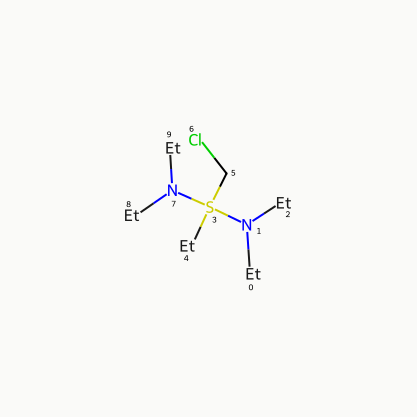 CCN(CC)S(CC)(CCl)N(CC)CC